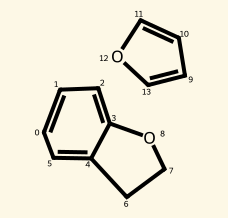 c1ccc2c(c1)CCO2.c1ccoc1